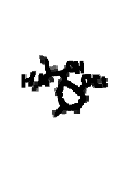 CCOc1ccc(C)cc1C(O)C(C)N